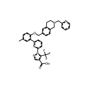 Cc1ccc(OCc2ccc3c(c2)CCN(Cc2ccccn2)C3)c(-c2cccc(-n3ncc(C(=O)O)c3C(F)(F)F)n2)c1